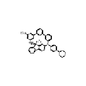 CCCC1(CCC)c2ccccc2-c2ccc(N(c3ccc(C4CCCCC4)cc3)c3cccc(-c4cccc(-c5cc(C(C)(C)C)cc(C(C)(C)C)c5)c4)c3)cc21